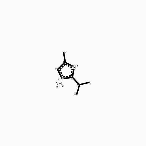 Cc1csc(C(C)C)n1.N